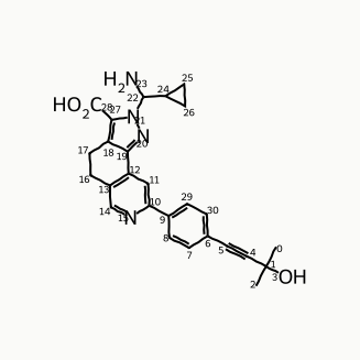 CC(C)(O)C#Cc1ccc(-c2cc3c(cn2)CCc2c-3nn(C(N)C3CC3)c2C(=O)O)cc1